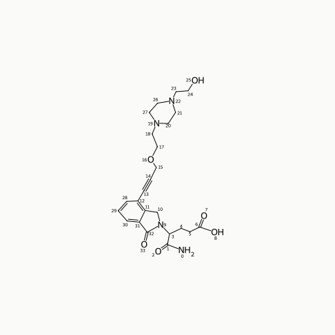 NC(=O)C(CCC(=O)O)N1Cc2c(C#CCOCCN3CCN(CCO)CC3)cccc2C1=O